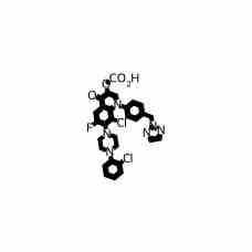 O=C(O)Oc1cn(-c2ccc(Cn3nccn3)cc2)c2c(Cl)c(N3CCN(c4ccccc4Cl)CC3)c(F)cc2c1=O